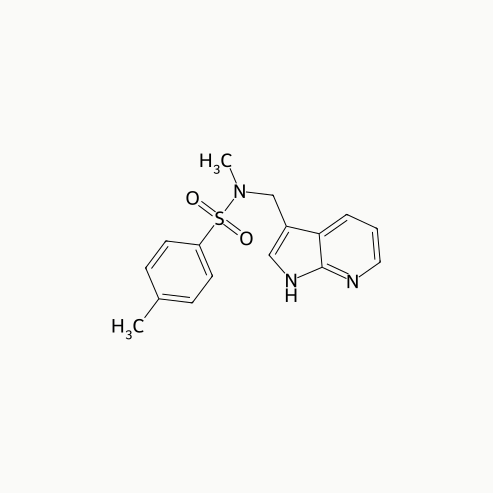 Cc1ccc(S(=O)(=O)N(C)Cc2c[nH]c3ncccc23)cc1